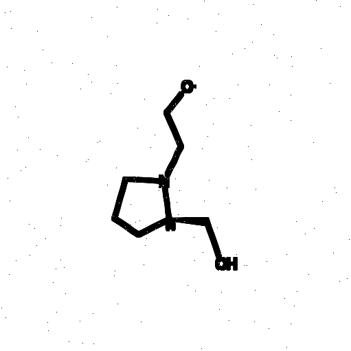 [O]CCN1CCC[C@@H]1CO